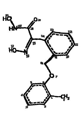 Cc1ccccc1OCc1ccccc1C(=NO)C(=O)NO